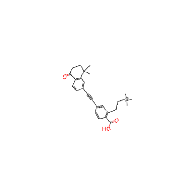 CC1(C)CCC(=O)c2ccc(C#Cc3ccc(C(=O)O)c(CC[Si](C)(C)C)c3)cc21